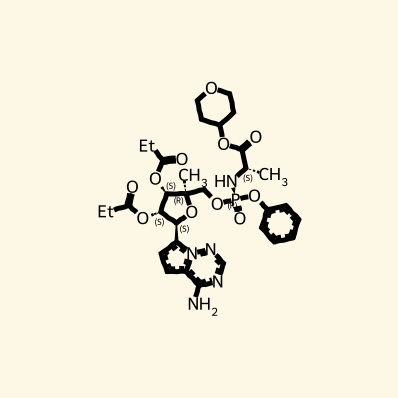 CCC(=O)O[C@H]1[C@H](c2ccc3c(N)ncnn23)O[C@](C)(CO[P@](=O)(N[C@@H](C)C(=O)OC2CCOCC2)Oc2ccccc2)[C@H]1OC(=O)CC